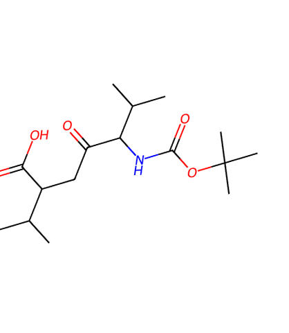 CC(C)C(CC(=O)C(NC(=O)OC(C)(C)C)C(C)C)C(=O)O